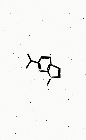 CC(C)c1ccc2ccn(I)c2n1